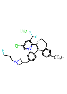 Cl.O=C(O)c1ccc2c(c1)CCCC(c1ncc(Cl)cc1C(F)F)=C2c1ccc(CC2CN(CCCF)C2)cc1